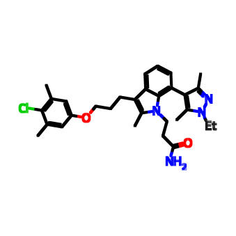 CCn1nc(C)c(-c2cccc3c(CCCOc4cc(C)c(Cl)c(C)c4)c(C)n(CCC(N)=O)c23)c1C